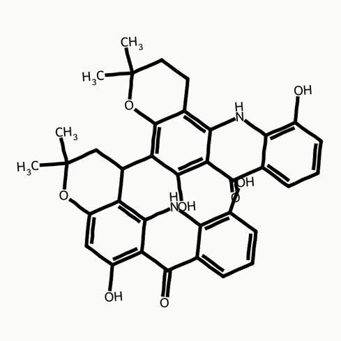 CC1(C)CC(c2c3c(c4[nH]c5c(O)cccc5c(=O)c4c2O)CCC(C)(C)O3)c2c(cc(O)c3c(=O)c4cccc(O)c4[nH]c23)O1